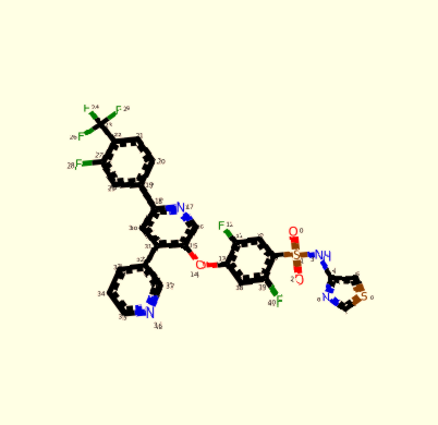 O=S(=O)(Nc1cscn1)c1cc(F)c(Oc2cnc(-c3ccc(C(F)(F)F)c(F)c3)cc2-c2cccnc2)cc1F